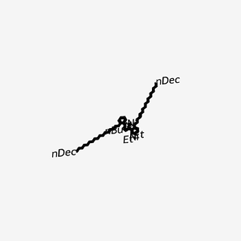 CCCCCCCCCCCCCCCCCCCCCCC=CCCCc1ccccc1C1=CC(CCCC)=C(c2ccccc2CCCC=CCCCCCCCCCCCCCCCCCCCCCC)[N+]1=[N-].C[CH2][Ni][CH2]C